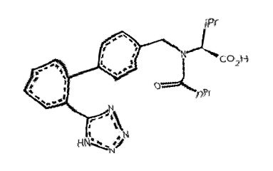 CCCC(=O)N(Cc1ccc(-c2ccccc2-c2nnn[nH]2)cc1)[C@H](C(=O)O)C(C)C